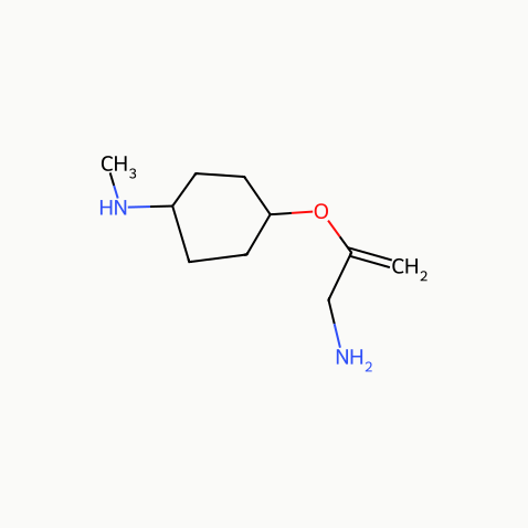 C=C(CN)OC1CCC(NC)CC1